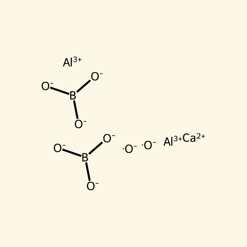 [Al+3].[Al+3].[Ca+2].[O-].[O-].[O-]B([O-])[O-].[O-]B([O-])[O-]